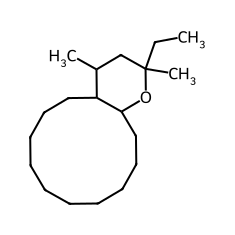 CCC1(C)CC(C)C2CCCCCCCCCCC2O1